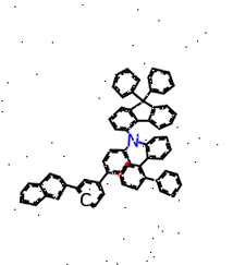 c1ccc(-c2ccccc2-c2ccccc2N(c2ccc(-c3cccc(-c4ccc5ccccc5c4)c3)cc2)c2cccc3c2-c2ccccc2C3(c2ccccc2)c2ccccc2)cc1